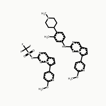 COc1ccc(-c2ccc3cnc(Nc4ccc(C5CCN(C)CC5)c(C)c4)nn23)cn1.COc1ccc(-c2ccc3cnc(OS(=O)(=O)C(F)(F)F)nn23)cn1